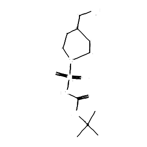 CC(C)(C)OC(=O)NS(=O)(=O)N1CCC(CO)CC1